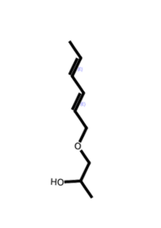 C/C=C/C=C/COCC(C)O